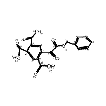 CC(=O)c1cc(C(=O)C(=O)OCc2ccccc2)c(C(=O)O)cc1C(=O)O